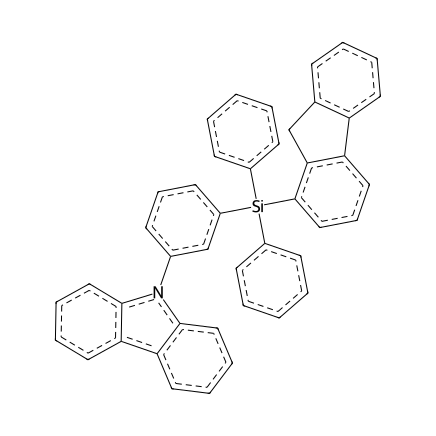 c1ccc([Si](c2ccccc2)(c2cccc(-n3c4ccccc4c4ccccc43)c2)c2cccc3c2Cc2ccccc2-3)cc1